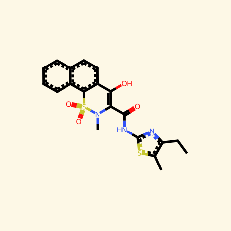 CCc1nc(NC(=O)C2=C(O)c3ccc4ccccc4c3S(=O)(=O)N2C)sc1C